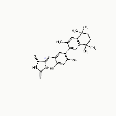 Cc1cc2c(cc1-c1cc(/C=C3\NC(=S)NC3=O)c(O)cc1O)C(C)(C)CCC2(C)C